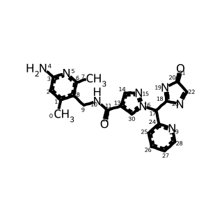 Cc1cc(N)nc(C)c1CNC(=O)c1cnn(C(C2=NC(=O)C=N2)c2ccccn2)c1